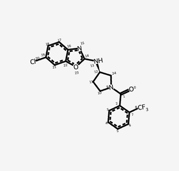 O=C(c1ccccc1C(F)(F)F)N1CC[C@@H](Nc2nc3ccc(Cl)cc3o2)C1